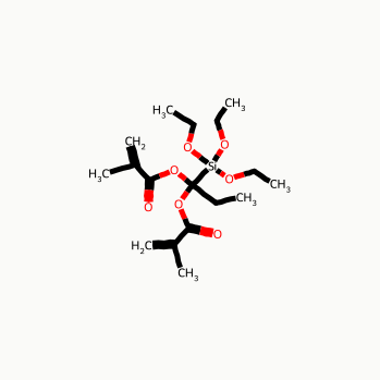 C=C(C)C(=O)OC(CC)(OC(=O)C(=C)C)[Si](OCC)(OCC)OCC